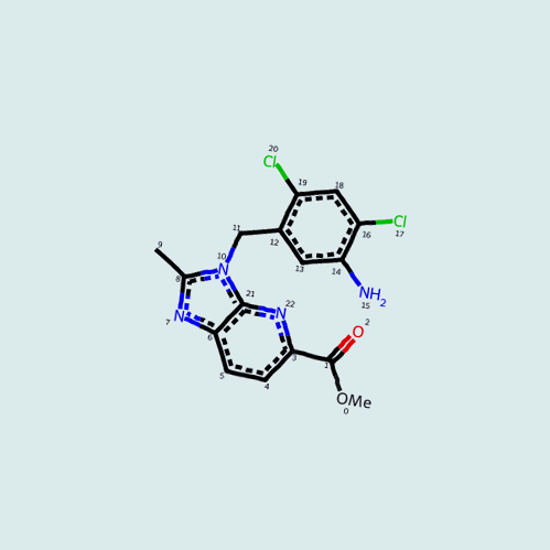 COC(=O)c1ccc2nc(C)n(Cc3cc(N)c(Cl)cc3Cl)c2n1